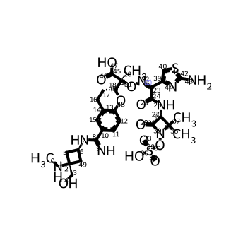 CN[C@]1(CO)C[C@@H](NC(=N)c2ccc3c(c2)CC[C@H]([C@](C)(O/N=C(\C(=O)N[C@@H]2C(=O)N(OS(=O)(=O)O)C2(C)C)c2csc(N)n2)C(=O)O)O3)C1